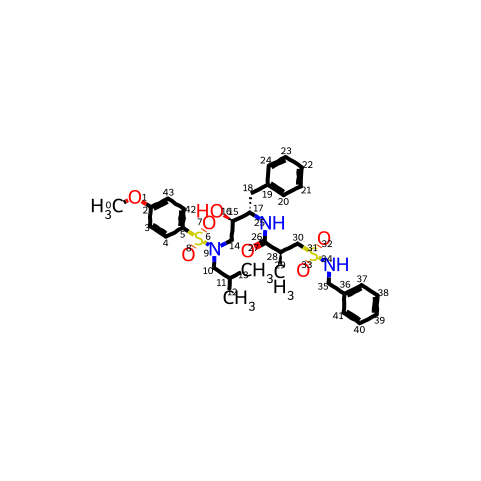 COc1ccc(S(=O)(=O)N(CC(C)C)C[C@@H](O)[C@H](Cc2ccccc2)NC(=O)[C@H](C)CS(=O)(=O)NCc2ccccc2)cc1